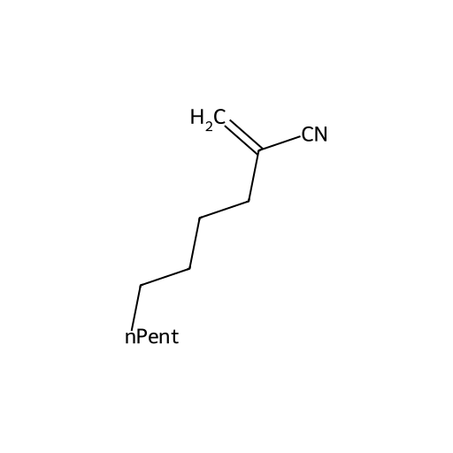 C=C(C#N)CCCCCCCCC